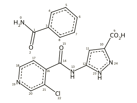 NC(=O)c1ccccc1.O=C(O)c1cc(NC(=O)c2ccncc2Cl)[nH]n1